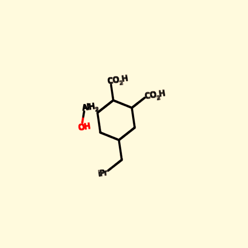 CC(C)CC1CCC(C(=O)O)C(C(=O)O)C1.[OH][AlH2]